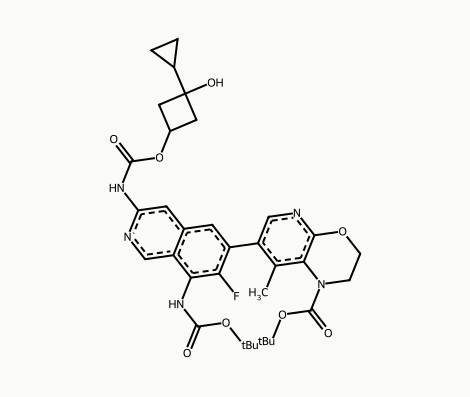 Cc1c(-c2cc3cc(NC(=O)OC4CC(O)(C5CC5)C4)ncc3c(NC(=O)OC(C)(C)C)c2F)cnc2c1N(C(=O)OC(C)(C)C)CCO2